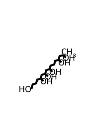 CC(O)CC(O)CCCC(O)CC(O)CC(O)CCCCO